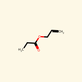 [CH2]CC(=O)OCC=C